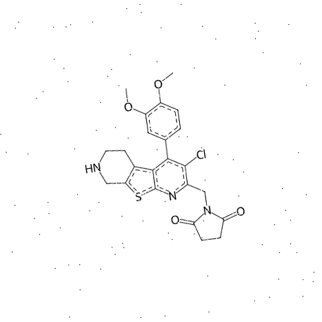 COc1ccc(-c2c(Cl)c(CN3C(=O)CCC3=O)nc3sc4c(c23)CCNC4)cc1OC